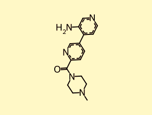 CN1CCN(C(=O)c2ccc(-c3ccncc3N)cn2)CC1